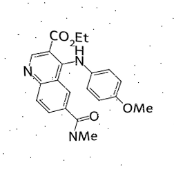 CCOC(=O)c1cnc2ccc(C(=O)NC)cc2c1Nc1ccc(OC)cc1